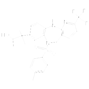 Cc1ccc(S(=O)(=O)N2Cc3ccc(C(F)(F)F)nc3Nc3ccc(C(C)(C)C(C)O)cc32)cc1